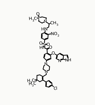 CC(CNc1ccc(S(=O)(=O)NC(=O)c2ccc(N3CCN(CC4=C(c5ccc(Cl)cc5)CC(C)(C)CC4)CC3)cc2Oc2cnc3[nH]ccc3c2)cc1[N+](=O)[O-])N1CCP(C)(=O)CC1